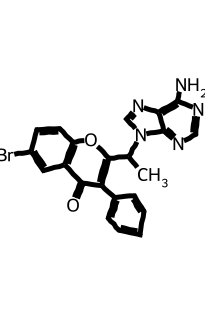 CC(c1oc2ccc(Br)cc2c(=O)c1-c1ccccc1)n1cnc2c(N)ncnc21